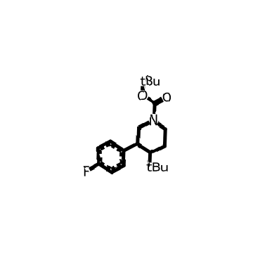 CC(C)(C)OC(=O)N1CCC(C(C)(C)C)C(c2ccc(F)cc2)C1